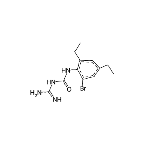 CCc1cc(Br)c(NC(=O)NC(=N)N)c(CC)c1